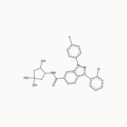 O=C(NC1CS(O)(O)CC1O)c1ccc2c(-c3ccccc3Cl)nn(-c3ccc(F)cc3)c2c1